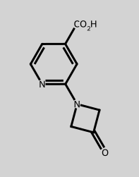 O=C1CN(c2cc(C(=O)O)ccn2)C1